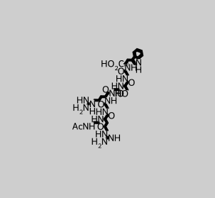 CC(=O)NCC(=O)NC(CCCNC(=N)N)C(=O)NCC(=O)NC(CCCNC(=N)N)C(=O)NCC(=O)NC(CO)C(=O)NCC(=O)N[C@@H](Cc1c[nH]c2ccccc12)C(=O)O